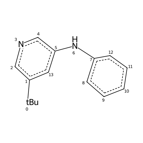 CC(C)(C)c1cncc(Nc2ccccc2)c1